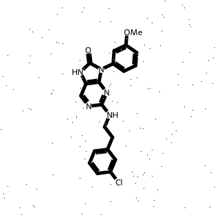 COc1cccc(-n2c(=O)[nH]c3cnc(NCCc4cccc(Cl)c4)nc32)c1